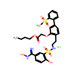 CCCCOC(=O)COc1cc(-c2ccccc2S(C)(=O)=O)ccc1CCNS(=O)(=O)c1cc(C(=N)NO)ccc1O.Cl